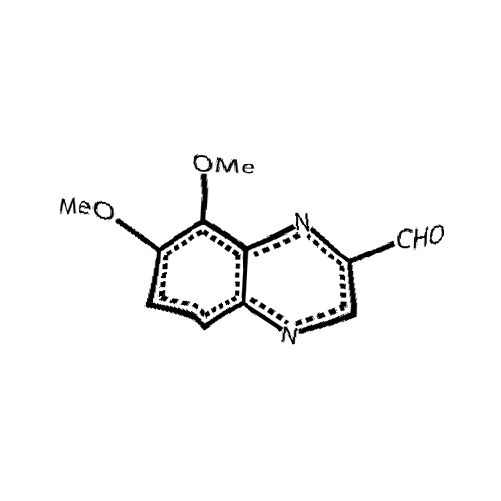 COc1ccc2ncc(C=O)nc2c1OC